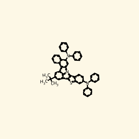 CC(C)(C)c1cc2c3sc4cc(N(c5ccccc5)c5ccccc5)ccc4c3n3c4cc(N(c5ccccc5)c5ccccc5)c5ccccc5c4c(c1)c23